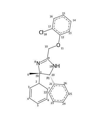 C[C@@]1(C2C=CC=CC2)N=C(COc2ccccc2Cl)N[C@@H]1c1ccccc1